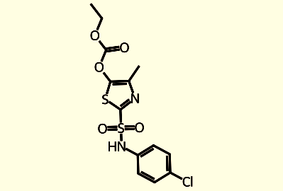 CCOC(=O)Oc1sc(S(=O)(=O)Nc2ccc(Cl)cc2)nc1C